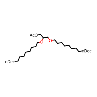 CCCCCCCCCCCCCCCCCCOCC(COC(C)=O)OCCCCCCCCCCCCCCCCCC